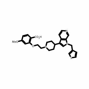 COc1ccc(C(=O)O)c(OCCN2CCC(c3cn(Cc4ccsc4)c4cnccc34)CC2)c1